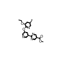 CCOc1cc(F)cnc1Oc1cncc(-c2ncc(C(=O)OC)cn2)c1